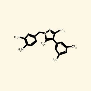 Cc1cc(Cn2nc(C(F)(F)F)c(-c3cc(C(F)(F)F)cc(C(F)(F)F)c3)c2C(F)(F)F)ccc1N